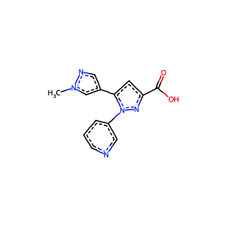 Cn1cc(-c2cc(C(=O)O)nn2-c2cccnc2)cn1